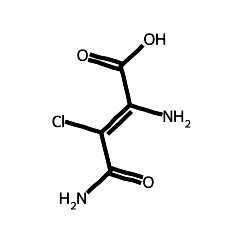 NC(=O)C(Cl)=C(N)C(=O)O